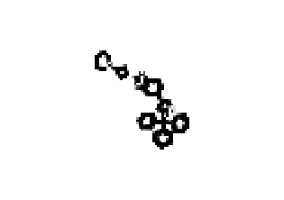 c1ccc(C(c2ccccc2)(c2ccccc2)n2cc(-c3ccc4nc([C@H]5C[C@H](N6CCCCC6)C5)sc4c3)cn2)cc1